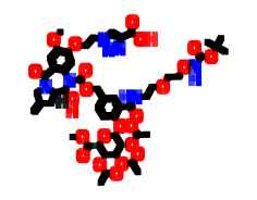 C=C1C[C@H]2C(O)N(C(=O)OCc3ccc(O[C@@H]4O[C@H](C(=O)OC)[C@@H](OC(C)=O)[C@H](OC(C)=O)[C@H]4OC(C)=O)c(C(=O)NCCOCCONC(=O)OC(C)(C)C)c3)c3cc(OCCn4cc(C(=O)O)nn4)c(OC)cc3C(=O)N2C1